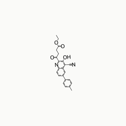 CCOC(=O)CCC(=O)c1nc2ccc(-c3ccc(C)cc3)cc2c(C#N)c1O